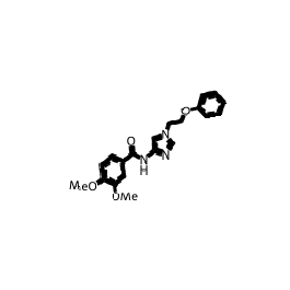 COc1ccc(C(=O)Nc2cn(CCOc3ccccc3)cn2)cc1OC